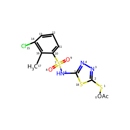 CC(=O)OSc1nnc(NS(=O)(=O)c2cccc(Cl)c2C)s1